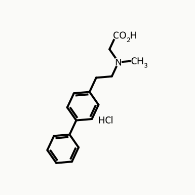 CN(CCc1ccc(-c2ccccc2)cc1)CC(=O)O.Cl